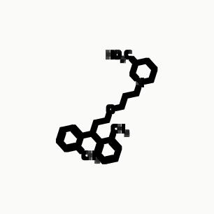 Cc1ccccc1C(CCOCCCN1CCCC(C(=O)O)C1)c1ccccc1C